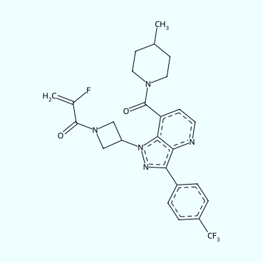 C=C(F)C(=O)N1CC(n2nc(-c3ccc(C(F)(F)F)cc3)c3nccc(C(=O)N4CCC(C)CC4)c32)C1